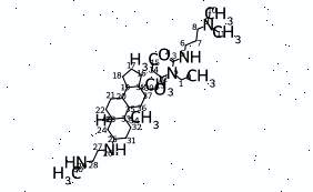 CCN(C(=O)NCCCN(C)C)C(=O)C(C)[C@H]1CCC2C3CC[C@H]4CC(NCCNC)CC[C@]4(C)C3CC[C@@]21C